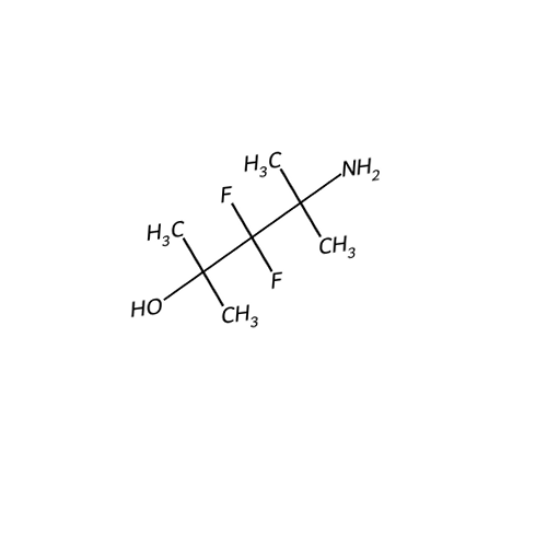 CC(C)(N)C(F)(F)C(C)(C)O